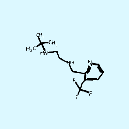 CC(C)(C)NCCNCc1ncccc1C(F)(F)F